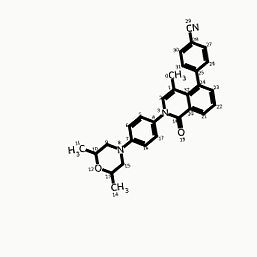 Cc1cn(-c2ccc(N3CC(C)OC(C)C3)cc2)c(=O)c2cccc(-c3ccc(C#N)cc3)c12